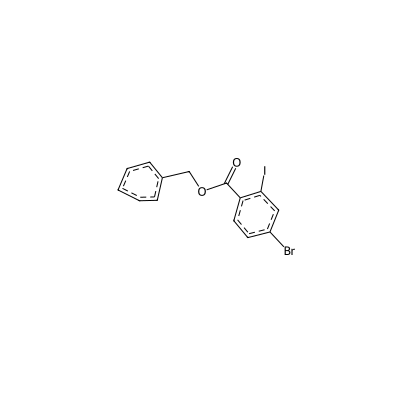 O=C(OCc1ccccc1)c1ccc(Br)cc1I